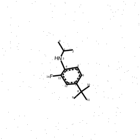 CC(C)Nc1ccc(C(C)(C)C)cc1F